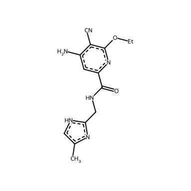 CCOc1nc(C(=O)NCc2nc(C)c[nH]2)cc(N)c1C#N